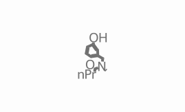 CCCC(=O)N(C)Cc1cccc(O)c1